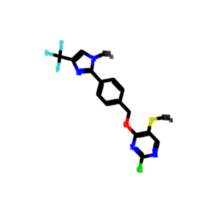 CSc1cnc(Cl)nc1OCc1ccc(-c2nc(C(F)(F)F)cn2C)cc1